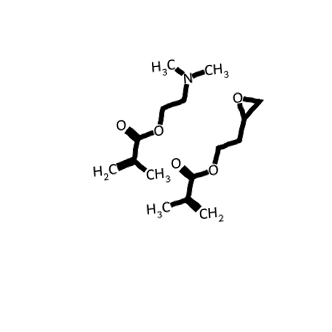 C=C(C)C(=O)OCCC1CO1.C=C(C)C(=O)OCCN(C)C